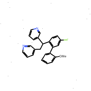 COc1ccccc1-c1cc(F)ccc1C(Cc1cccnc1)c1cccnc1